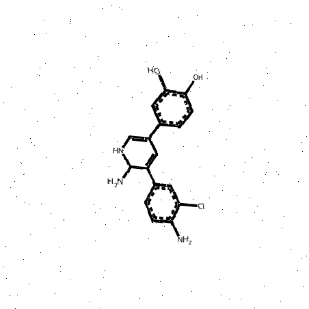 Nc1ccc(C2=CC(c3ccc(O)c(O)c3)=CNC2N)cc1Cl